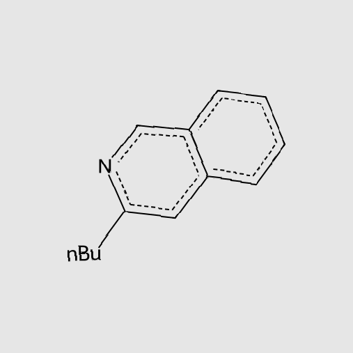 CCCCc1cc2ccccc2cn1